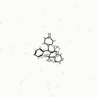 CCC(C)=C(C(c1ccccc1)N1CCNCC1)C(C)(Cl)N1CCOCC1